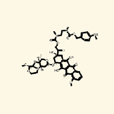 CNc1ccc(COC(=O)N(C)CCN(C)C(=O)OCC(=O)[C@]2(O)Cc3c(O)c4c(c(O)c3[C@@H](O[C@H]3C[C@H]5[C@H](OC6[C@@H](OC)OCCN65)[C@H](C)O3)C2)C(=O)c2c(OC)cccc2C4=O)cc1